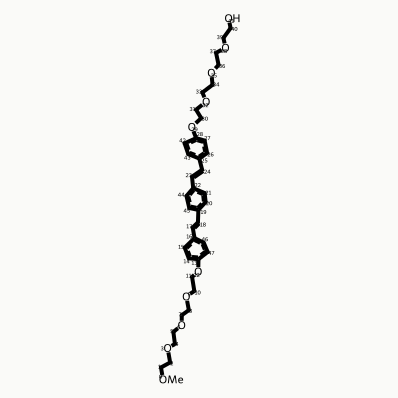 COCCOCCOCCOCCOc1ccc(/C=C/c2ccc(/C=C/c3ccc(OCCOCCOCCOCCO)cc3)cc2)cc1